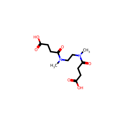 CN(CCN(C)C(=O)CCC(=O)O)C(=O)CCC(=O)O